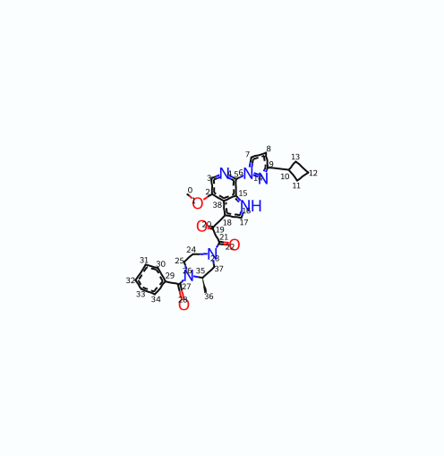 COc1cnc(-n2ccc(C3CCC3)n2)c2[nH]cc(C(=O)C(=O)N3CCN(C(=O)c4ccccc4)[C@H](C)C3)c12